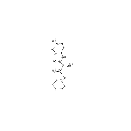 CC(C)(C)C1CCC(NC(=O)C(O)[C@H](N)CC2CCCCC2)CC1.Cl